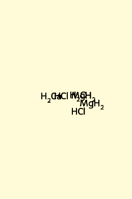 Cl.Cl.O.[CaH2].[MgH2].[MgH2]